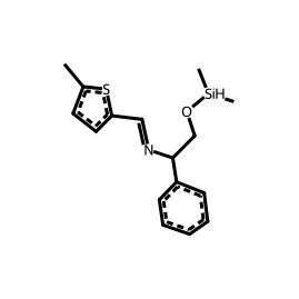 Cc1ccc(C=NC(CO[SiH](C)C)c2ccccc2)s1